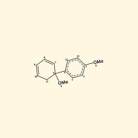 COc1ccc(C2(OC)C=CC=CC2)cc1